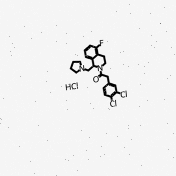 Cl.O=C(Cc1ccc(Cl)c(Cl)c1)N1CCc2c(F)cccc2C1CN1CCCC1